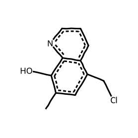 Cc1cc(CCl)c2cccnc2c1O